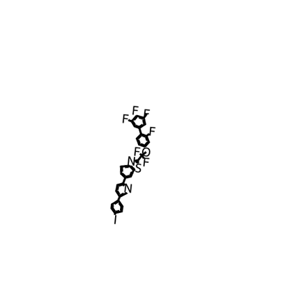 Fc1cc(OC(F)(F)c2nc3ccc(-c4ccc(-c5ccc(I)cc5)cn4)cc3s2)ccc1-c1cc(F)c(F)c(F)c1